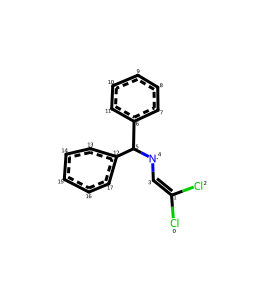 ClC(Cl)=C[N]C(c1ccccc1)c1ccccc1